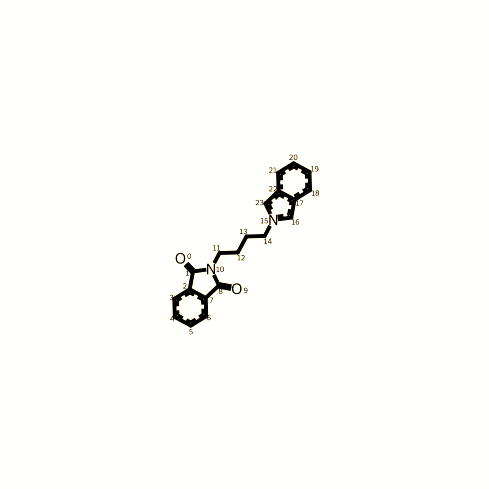 O=C1c2ccccc2C(=O)N1CCCCn1cc2ccccc2c1